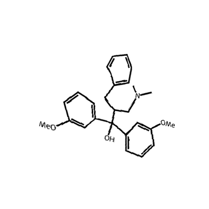 COc1cccc(C(O)(c2cccc(OC)c2)C(Cc2ccccc2)CN(C)C)c1